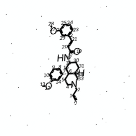 C=CCN1CC[C@@]2(c3cccc(OC)c3)C[C@@H](NC(=O)C=Cc3cccc(OC)c3)CC[C@@H]2C1